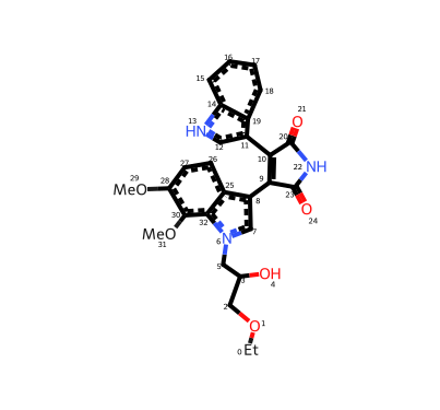 CCOCC(O)Cn1cc(C2=C(c3c[nH]c4ccccc34)C(=O)NC2=O)c2ccc(OC)c(OC)c21